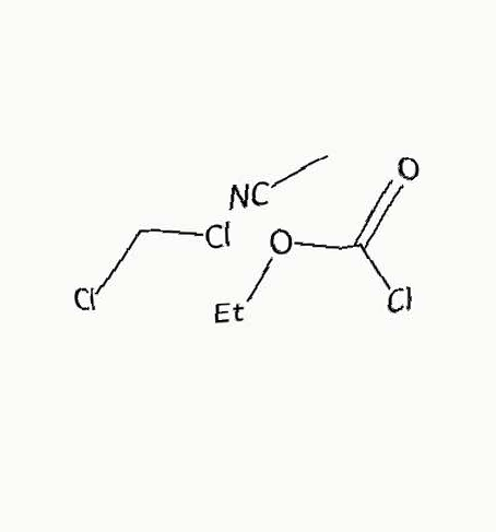 CC#N.CCOC(=O)Cl.ClCCl